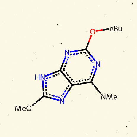 CCCCOc1nc(NC)c2nc(OC)[nH]c2n1